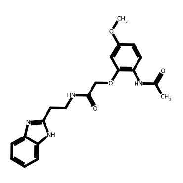 COc1ccc(NC(C)=O)c(OCC(=O)NCCc2nc3ccccc3[nH]2)c1